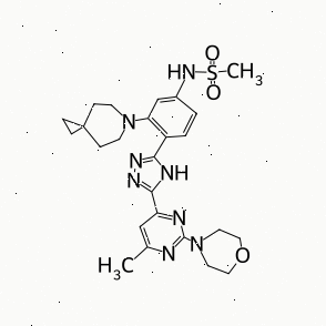 Cc1cc(-c2nnc(-c3ccc(NS(C)(=O)=O)cc3N3CCC4(CC3)CC4)[nH]2)nc(N2CCOCC2)n1